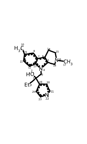 CCC(O)(Cn1c2c(c3cc(C)ccc31)CCN(C)C2)c1ccncc1